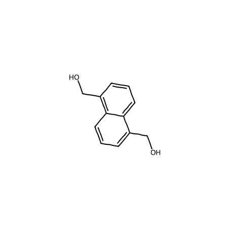 OCc1cccc2c(CO)cccc12